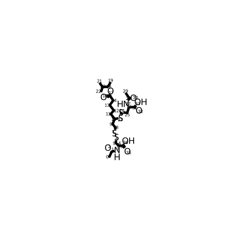 CC(=O)NC(CSSCCC(CCCCC(=O)OC(C)C(C)C)SSCC(NC(C)=O)C(=O)O)C(=O)O